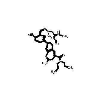 CCCN(CCC)C(=O)C1=Cc2ccc(-c3ccc(C=O)c(/C=N\N(C)C/C(=N/C=N)NC)c3)cc2N=C(N)C1